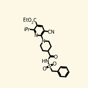 CCOC(=O)c1cc(C#N)c(N2CCC(C(=O)NS(=O)(=O)Cc3ccccc3)CC2)nc1C(C)C